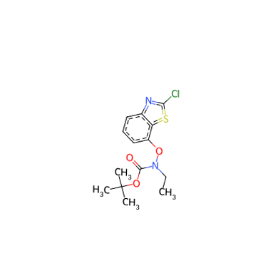 CCN(Oc1cccc2nc(Cl)sc12)C(=O)OC(C)(C)C